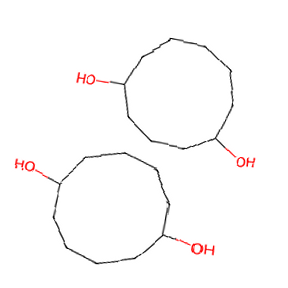 OC1CCCCC(O)CCCC1.OC1CCCCCC(O)CCC1